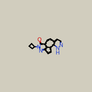 O=c1c2ccc3c(c4ccc(nn1C1CCC1)c2-4)NN=CC=3